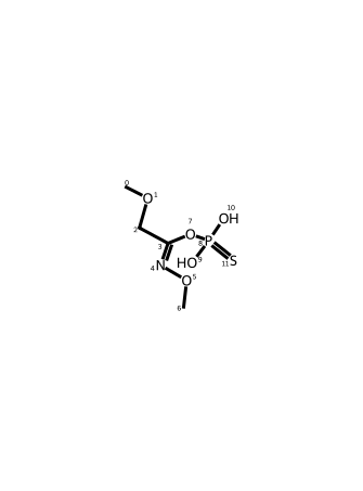 COCC(=NOC)OP(O)(O)=S